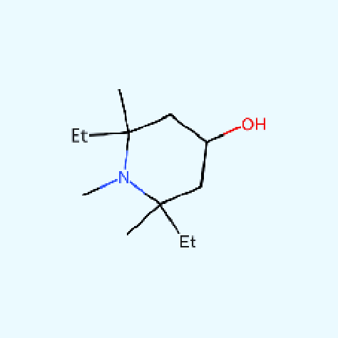 CCC1(C)CC(O)CC(C)(CC)N1C